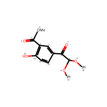 COC(=O)c1cc(C(=O)C(OC(C)C)OC(C)C)ccc1O